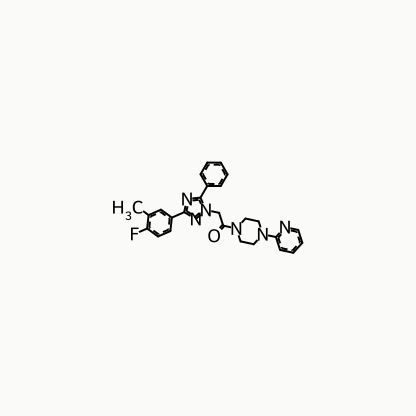 Cc1cc(-c2nc(-c3ccccc3)n(CC(=O)N3CCN(c4ccccn4)CC3)n2)ccc1F